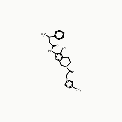 Cc1cn(CC(=O)N2CCc3c(sc(NC(=O)CC(C)c4ccccc4)c3C#N)C2)cn1